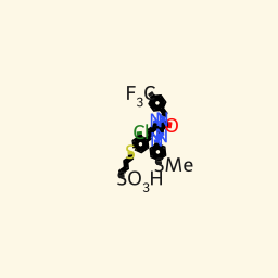 CSc1ccc(-n2nc3c(=O)n(Cc4ccc(C(F)(F)F)cc4)nc-3cc2-c2ccc(SCCCCS(=O)(=O)O)cc2Cl)cc1